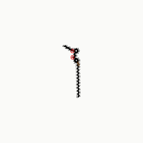 CCCCCCCCCCCCCCCCCCCCCSc1ccc(C(=O)/C=C/c2ccccc2OCCCCCC)cc1